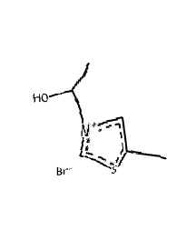 Cc1c[n+](C(C)O)cs1.[Br-]